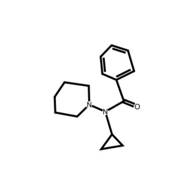 O=C(c1ccccc1)N(C1CC1)N1CCCCC1